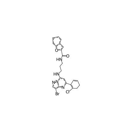 O=C(NCCCNc1cc(C2=C(Cl)CCC=C2)nc2c(Br)cnn12)c1cc2ccccc2o1